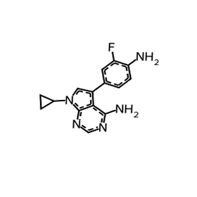 Nc1ccc(-c2cn(C3CC3)c3ncnc(N)c23)cc1F